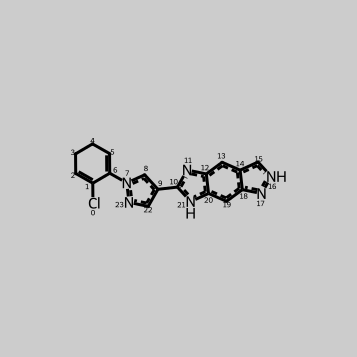 ClC1=CCCC=C1n1cc(-c2nc3cc4c[nH]nc4cc3[nH]2)cn1